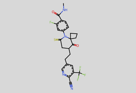 CNC(=O)c1ccc(N2C(=S)CC(CCc3cnc(C#N)c(C(F)(F)F)c3)C(=O)C23CCC3)cc1F